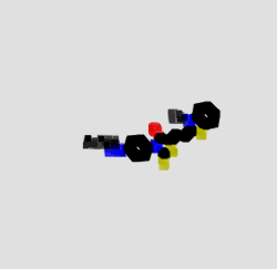 CCN1C(=CC=C2SC(=S)N(c3ccc(NNC(C)=O)cc3)C2=O)Sc2ccccc21